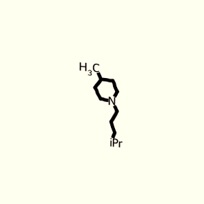 CC(C)CCCN1CCC(C)CC1